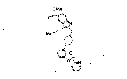 COCCn1c(CN2CCC(c3cccc4c3OC(C)(c3ccccn3)O4)CC2)nc2ccc(C(=O)OC)cc21